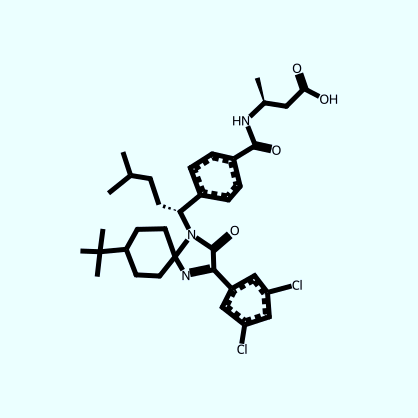 CC(C)CC[C@H](c1ccc(C(=O)N[C@@H](C)CC(=O)O)cc1)N1C(=O)C(c2cc(Cl)cc(Cl)c2)=NC12CCC(C(C)(C)C)CC2